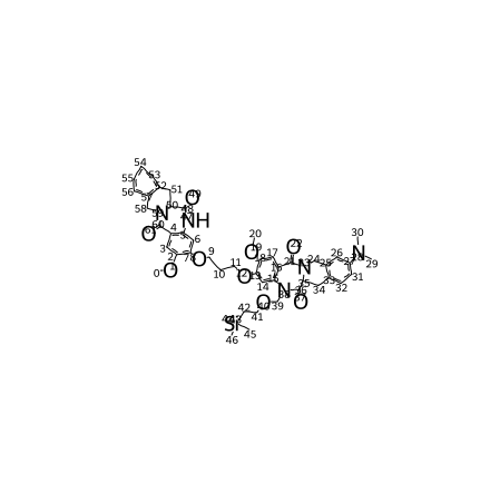 COc1cc2c(cc1OCCCOc1cc3c(cc1OC)C(=O)N1Cc4cc(N(C)C)ccc4CC1C(=O)N3COCC[Si](C)(C)C)NC(=O)C1Cc3ccccc3CN1C2=O